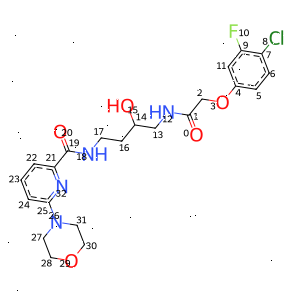 O=C(COc1ccc(Cl)c(F)c1)NCC(O)CCNC(=O)c1cccc(N2CCOCC2)n1